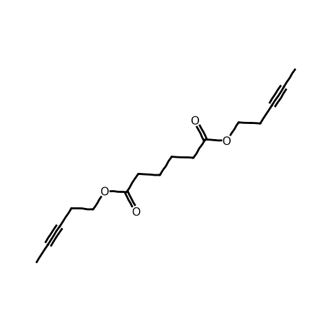 CC#CCCOC(=O)CCCCC(=O)OCCC#CC